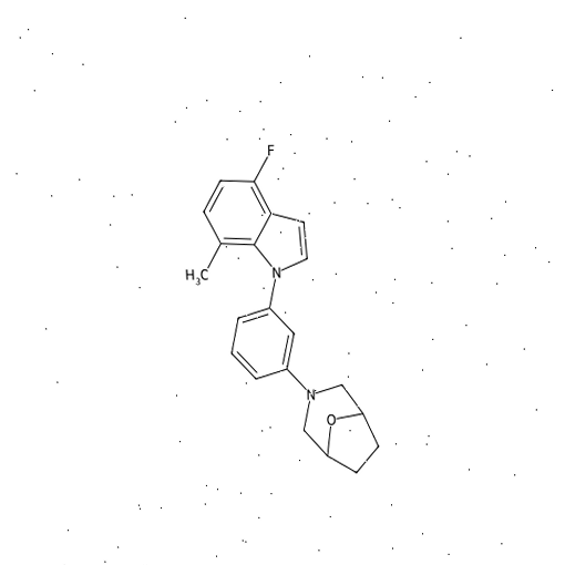 Cc1ccc(F)c2ccn(-c3cccc(N4CC5CCC(C4)O5)c3)c12